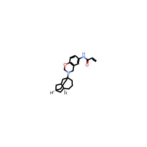 C=CC(=O)Nc1ccc2c(c1)CN(C13CCC[C@H]4C[C@@H](CC4C1)C3)CO2